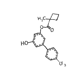 CC1(C(=O)Oc2cc(O)cc(-c3ccc(C(F)(F)F)cc3)c2)CCC1